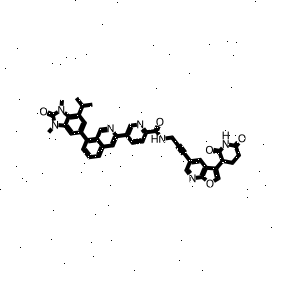 CC(C)c1cc(-c2cccc3cc(-c4ccc(C(=O)NCC#Cc5cnc6occ(C7CCC(=O)NC7=O)c6c5)nc4)ncc23)cc2c1n(C)c(=O)n2C